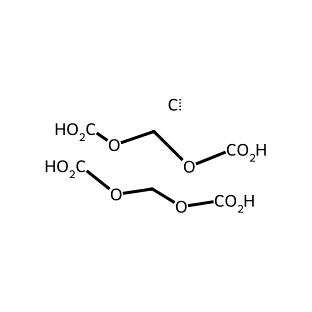 O=C(O)OCOC(=O)O.O=C(O)OCOC(=O)O.[C]